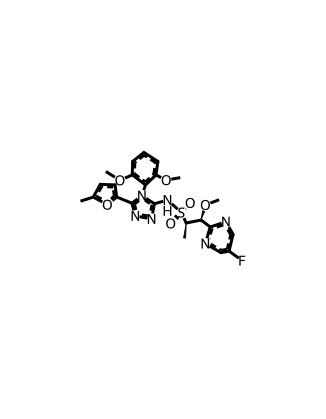 COc1cccc(OC)c1-n1c(NS(=O)(=O)[C@H](C)[C@@H](OC)c2ncc(F)cn2)nnc1-c1ccc(C)o1